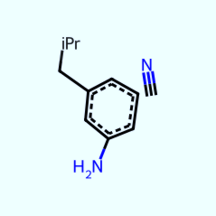 C#N.CC(C)Cc1cccc(N)c1